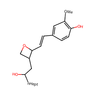 CCCCCCCC(O)CC1COC1/C=C/c1ccc(O)c(OC)c1